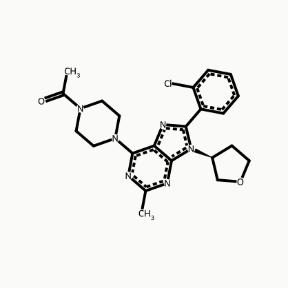 CC(=O)N1CCN(c2nc(C)nc3c2nc(-c2ccccc2Cl)n3[C@H]2CCOC2)CC1